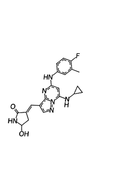 Cc1cc(Nc2cc(NC3CC3)n3ncc(/C=C4\CC(O)NC4=O)c3n2)ccc1F